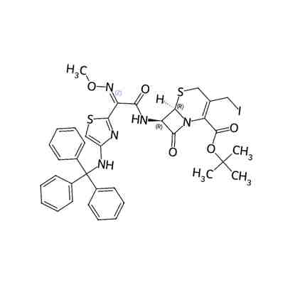 CO/N=C(/C(=O)N[C@@H]1C(=O)N2C(C(=O)OC(C)(C)C)=C(CI)CS[C@H]12)c1nc(NC(c2ccccc2)(c2ccccc2)c2ccccc2)cs1